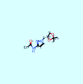 CCC(=O)Nc1ccn(C[C@@H]2COC(C)(C)O2)n1